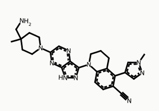 Cn1cc(-c2c(C#N)ccc3c2CCCN3c2n[nH]c3nc(N4CCC(C)(CN)CC4)cnc23)cn1